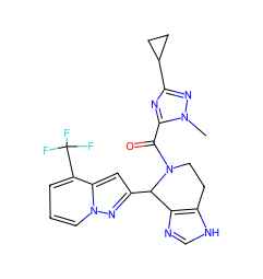 Cn1nc(C2CC2)nc1C(=O)N1CCc2[nH]cnc2C1c1cc2c(C(F)(F)F)cccn2n1